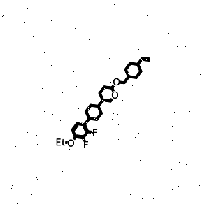 C=CC1CCC(COC2CCC(C3CCC(c4ccc(OCC)c(F)c4F)CC3)CO2)CC1